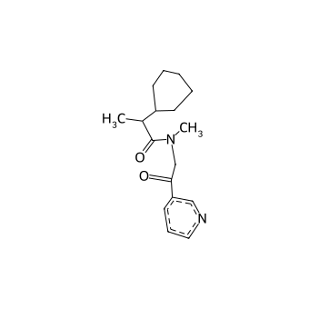 CC(C(=O)N(C)CC(=O)c1cccnc1)C1CCCCC1